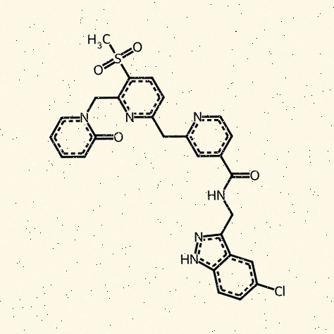 CS(=O)(=O)c1ccc(Cc2cc(C(=O)NCc3n[nH]c4ccc(Cl)cc34)ccn2)nc1Cn1ccccc1=O